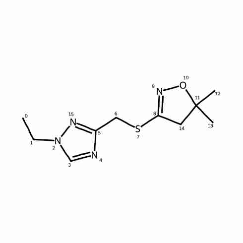 CCn1cnc(CSC2=NOC(C)(C)C2)n1